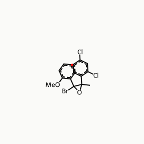 COc1ccccc1C1(Br)OC1(C)c1ccc(Cl)cc1Cl